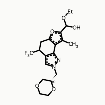 CCOC(O)c1oc2c(c1C)-c1nn(C[C@H]3COCCO3)cc1C(C(F)(F)F)C2